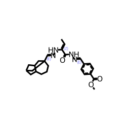 C/C=C(\N/N=C/C12CCCC3CC(CC3C1)C2)C(=O)N/N=C/c1ccc(C(=O)OC)cc1